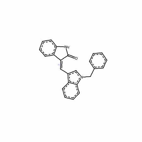 O=C1Nc2ccccc2/C1=C/c1cn(Cc2ccccc2)c2ccccc12